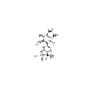 CC(O)(c1ccc(-n2c(=O)[nH]c3nc[nH]c3c2=O)cn1)C(F)(F)F